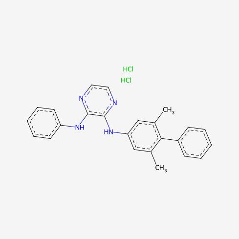 Cc1cc(Nc2nccnc2Nc2ccccc2)cc(C)c1-c1ccccc1.Cl.Cl